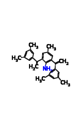 C=C(c1cc(C)cc(C)c1)c1cc(C)cc(C(=C)c2cc(C)cc(C)c2)c1N